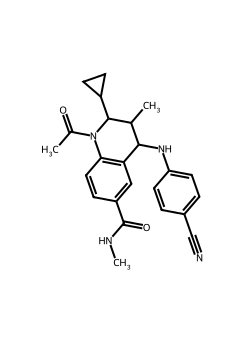 CNC(=O)c1ccc2c(c1)C(Nc1ccc(C#N)cc1)C(C)C(C1CC1)N2C(C)=O